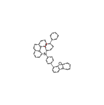 c1ccc(-c2ccc(N(c3ccc(-c4cccc5c4oc4ccccc45)cc3)c3cccc4ccc5ccccc5c34)cc2)cc1